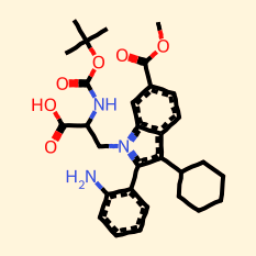 COC(=O)c1ccc2c(C3CCCCC3)c(-c3ccccc3N)n(CC(NC(=O)OC(C)(C)C)C(=O)O)c2c1